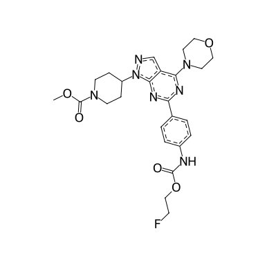 COC(=O)N1CCC(n2ncc3c(N4CCOCC4)nc(-c4ccc(NC(=O)OCCF)cc4)nc32)CC1